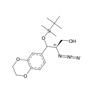 CC(C)(C)[Si](C)(C)OC(c1ccc2c(c1)OCCO2)[C@@H](CO)N=[N+]=[N-]